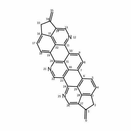 C=C1Cc2ccc3c4ccc5c6ncc7c8c(ccc(c9ncc(c%10ncc1c2c3%10)c4c59)c86)CC7=C